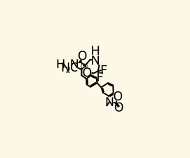 Cn1c(=O)oc2ccc(-c3ccc(CC(C#N)[C@@]4(C(N)=O)CNCC(F)(F)CO4)cc3)cc21